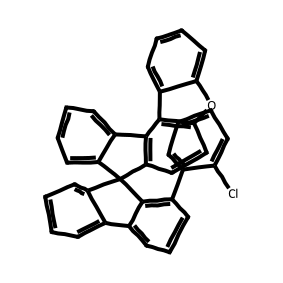 Clc1ccccc1-c1cccc2c1C1(c3ccccc3-2)c2ccccc2-c2c1ccc1oc3ccccc3c21